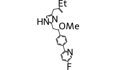 C=C(CC)Cc1c[nH]c(CC(OC)c2ccc(-c3ccc(F)cn3)cc2)n1